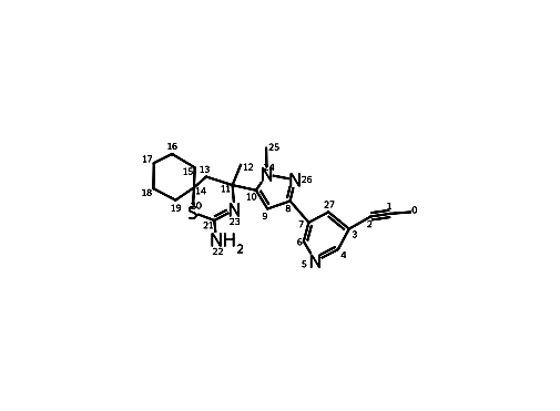 CC#Cc1cncc(-c2cc(C3(C)CC4(CCCCC4)SC(N)=N3)n(C)n2)c1